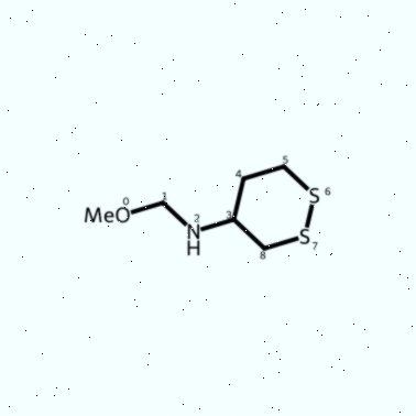 COCNC1CCSSC1